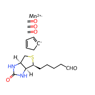 C=O.C=O.C=O.O=[C-]CCCC[C@@H]1SC[C@@H]2NC(=O)N[C@@H]21.[C-]1=CC=CC1.[Mn+2]